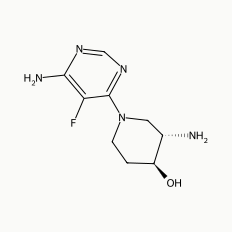 Nc1ncnc(N2CC[C@H](O)[C@@H](N)C2)c1F